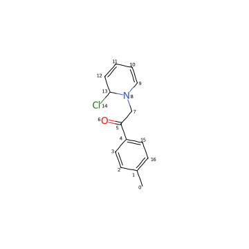 Cc1ccc(C(=O)CN2C=CC=CC2Cl)cc1